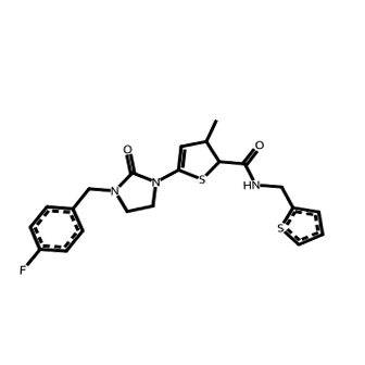 CC1C=C(N2CCN(Cc3ccc(F)cc3)C2=O)SC1C(=O)NCc1cccs1